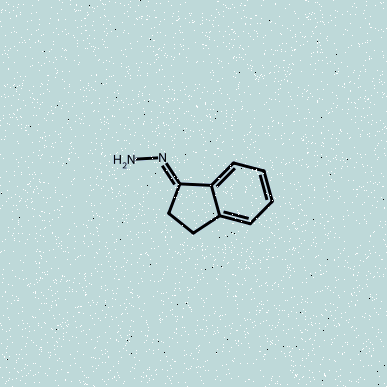 NN=C1CCc2ccccc21